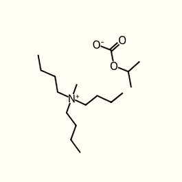 CC(C)OC(=O)[O-].CCCC[N+](C)(CCCC)CCCC